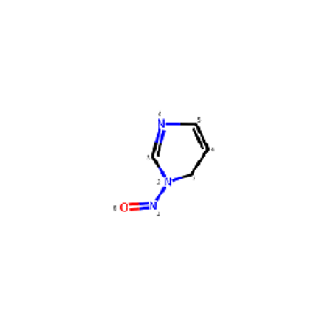 O=NN1C=NC=CC1